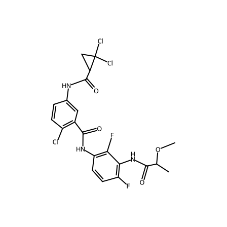 COC(C)C(=O)Nc1c(F)ccc(NC(=O)c2cc(NC(=O)C3CC3(Cl)Cl)ccc2Cl)c1F